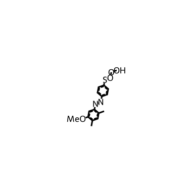 COc1cc(N=Nc2ccc(SOOO)cc2)c(C)cc1C